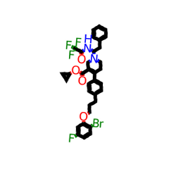 O=C(OC1CC1)C1=C(c2ccc(CCCOc3cc(F)ccc3Br)cc2)CCN(C(Cc2ccccc2)NC(=O)C(F)(F)F)C1